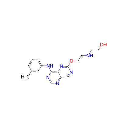 Cc1cccc(Nc2ncnc3cnc(OCCNCCO)nc23)c1